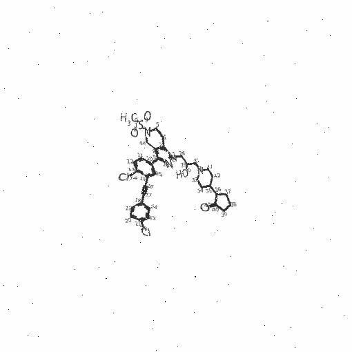 CS(=O)(=O)N1CCc2c(c(-c3ccc(Cl)c(C#Cc4ccc(Cl)cc4)c3)nn2CC(O)CN2CCC(C3CCCC3=O)CC2)C1